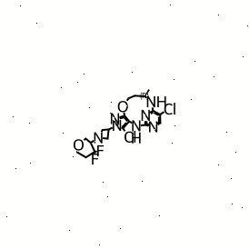 C[C@@H]1CCOc2nn(C3CN(C4COCCC4(F)F)C3)c(Cl)c2Nc2ncc(Cl)c(n2)N1